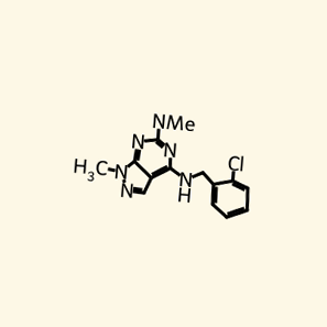 CNc1nc(NCc2ccccc2Cl)c2cnn(C)c2n1